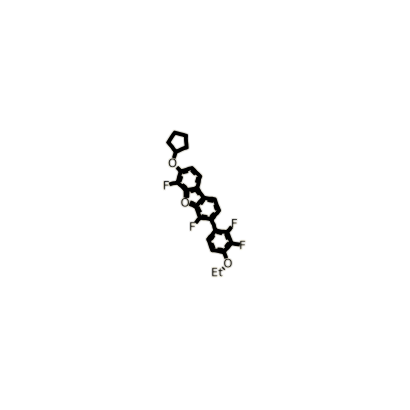 CCOc1ccc(-c2ccc3c(oc4c(F)c(OC5CCCC5)ccc43)c2F)c(F)c1F